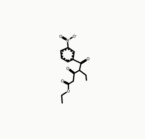 CCOC(=O)CC(=O)C(CC)C(=O)c1cccc([N+](=O)[O-])c1